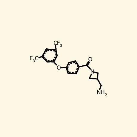 NCC1CN(C(=O)c2ccc(Oc3cc(C(F)(F)F)cc(C(F)(F)F)c3)cc2)C1